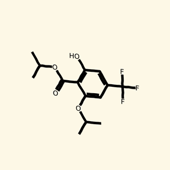 CC(C)OC(=O)c1c(O)cc(C(F)(F)F)cc1OC(C)C